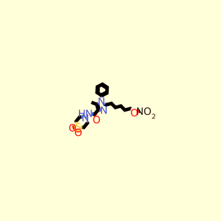 Cc1c(C(=O)NN2CCS(=O)(=O)CC2)nc(CCCCCO[N+](=O)[O-])n1-c1ccccc1